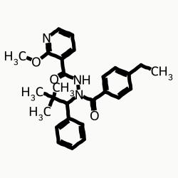 CCc1ccc(C(=O)N(NC(=O)c2cccnc2OC)C(c2ccccc2)C(C)(C)C)cc1